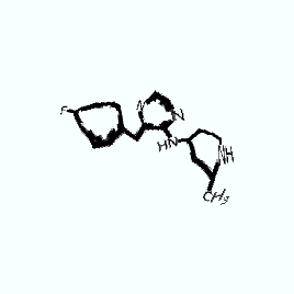 CC1CC(Nc2nccnc2Cc2ccc(F)cc2)CCN1